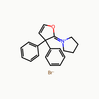 C1=CC(c2ccccc2)(c2ccccc2)C(=[N+]2CCCC2)O1.[Br-]